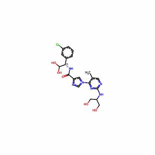 Cc1cnc(NC(CO)CO)nc1-n1cnc(C(=O)N[C@@H](c2cccc(Cl)c2)C(O)O)c1